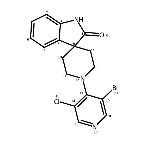 O=C1Nc2ccccc2C12CCN(c1c(Cl)cncc1Br)CC2